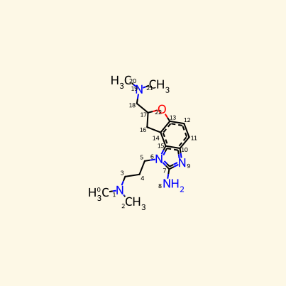 CN(C)CCCn1c(N)nc2ccc3c(c21)CC(CN(C)C)O3